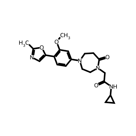 COc1cc(N2CCC(=O)N(CC(=O)NC3CC3)CC2)ccc1-c1cnc(C)o1